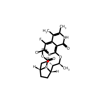 Cc1[nH]c(=O)c2c(O[C@@H](C)[C@H]3NC[C@H]4CC[C@@H]3N4C(=O)OC(C)(C)C)nc(Cl)c(F)c2c1C